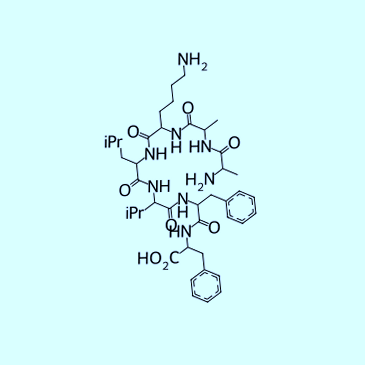 CC(C)CC(NC(=O)C(CCCCN)NC(=O)C(C)NC(=O)C(C)N)C(=O)NC(C(=O)NC(Cc1ccccc1)C(=O)NC(Cc1ccccc1)C(=O)O)C(C)C